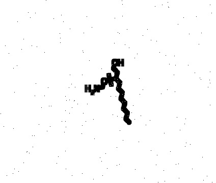 CCCCCCCCCC(CCO)C(C)(C)OCN